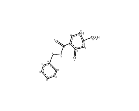 O=C(O)c1cc(=O)c(C(=O)OCc2ccccc2)c[nH]1